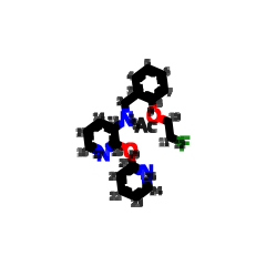 CC(=O)N(Cc1ccccc1OCCF)c1cccnc1Oc1ccccn1